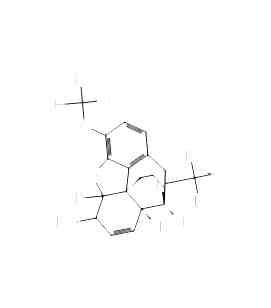 [2H]C([2H])([2H])Oc1ccc2c3c1OC1([2H])C(O)C=C[C@H]4[C@@H](C2)N(C([2H])([2H])[2H])CC[C@@]341